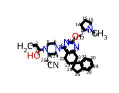 C=CC(O)N1CCN(c2nc(OC[C@@H]3CCCN3C)nc3c2CCC2(CCc4ccccc42)C3)C[C@@H]1CC#N